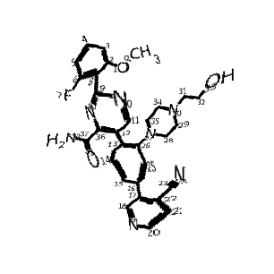 COc1cccc(F)c1-c1ncc(-c2ccc(-c3cnccc3C#N)cc2N2CCN(CCO)CC2)c(C(N)=O)n1